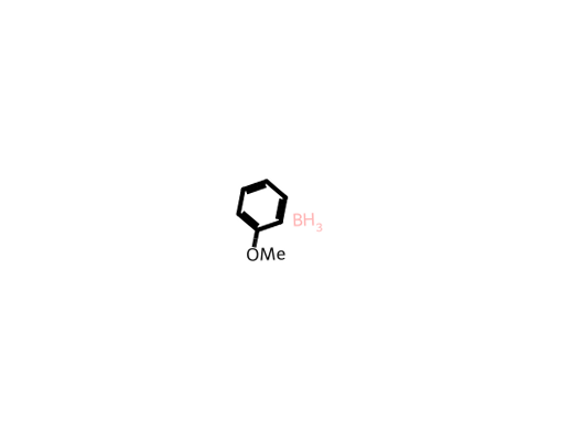 B.COc1ccccc1